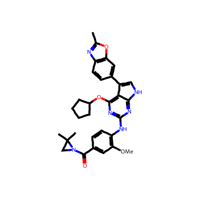 COc1cc(C(=O)N2CC2(C)C)ccc1Nc1nc(OC2CCCC2)c2c(-c3ccc4nc(C)oc4c3)c[nH]c2n1